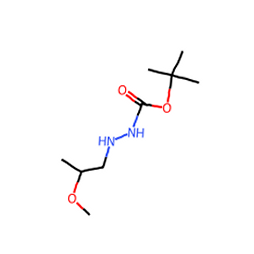 COC(C)CNNC(=O)OC(C)(C)C